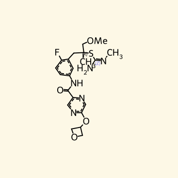 C/N=C(/N)S[C@@](C)(COC)Cc1cc(NC(=O)c2cnc(OC3COC3)cn2)ccc1F